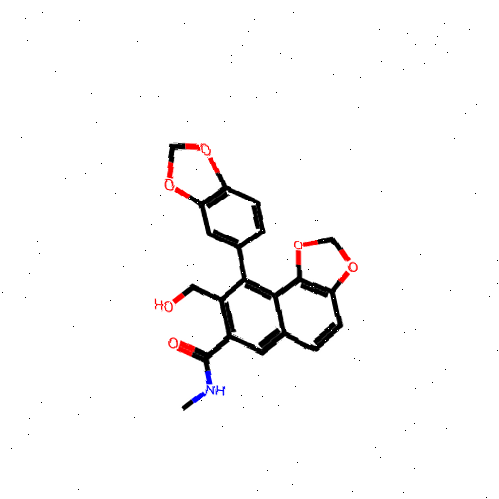 CNC(=O)c1cc2ccc3c(c2c(-c2ccc4c(c2)OCO4)c1CO)OCO3